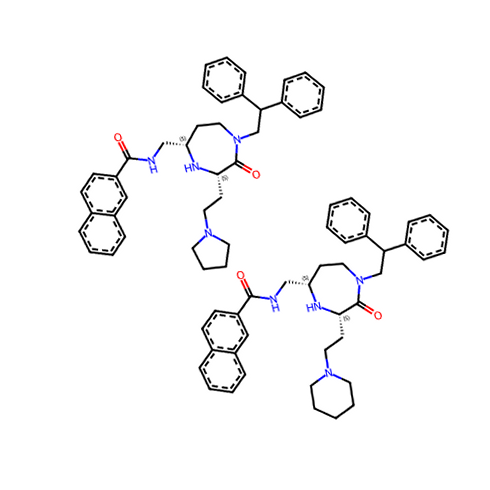 O=C(NC[C@@H]1CCN(CC(c2ccccc2)c2ccccc2)C(=O)[C@H](CCN2CCCC2)N1)c1ccc2ccccc2c1.O=C(NC[C@@H]1CCN(CC(c2ccccc2)c2ccccc2)C(=O)[C@H](CCN2CCCCC2)N1)c1ccc2ccccc2c1